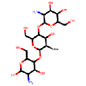 CNC1C(OC2C(CO)OC(O)C(N)C2O)OC(CO)C(OC2OC(CO)C(O)C(O)C2N)C1O